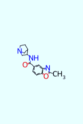 Cc1nc2cc(C(=O)NC3CN4CCC3C4)ccc2o1